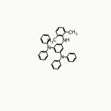 Cc1cccc(C)c1Nc1cc(N(c2ccccc2)c2ccccc2)cc(N(c2ccccc2)c2ccccc2)c1